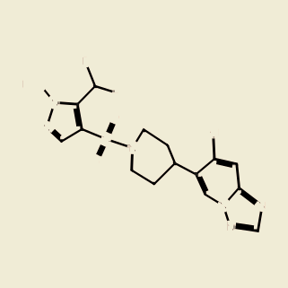 Cc1cc2ncnn2cc1C1CCN(S(=O)(=O)c2cnn(C)c2C(F)F)CC1